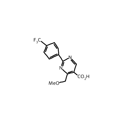 COCc1nc(-c2ccc(C(F)(F)F)cc2)ncc1C(=O)O